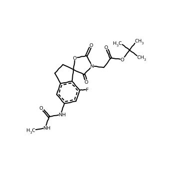 CNC(=O)Nc1cc(F)c2c(c1)CCC21OC(=O)N(CC(=O)OC(C)(C)C)C1=O